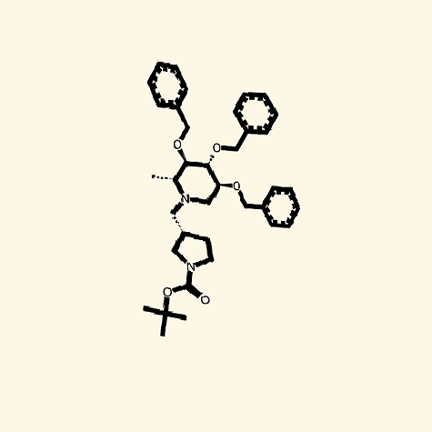 C[C@@H]1[C@@H](OCc2ccccc2)[C@H](OCc2ccccc2)[C@@H](OCc2ccccc2)CN1C[C@@H]1CCN(C(=O)OC(C)(C)C)C1